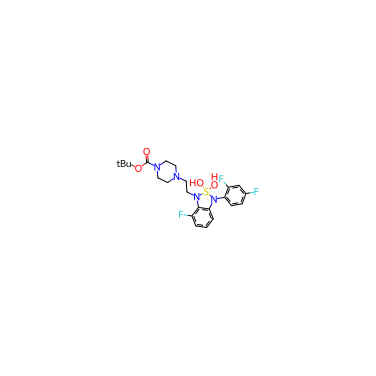 CC(C)(C)OC(=O)N1CCN(CCN2c3c(F)cccc3N(c3ccc(F)cc3F)S2(O)O)CC1